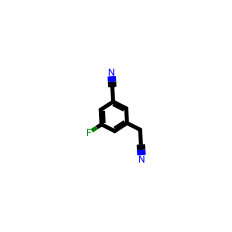 N#CCc1cc(F)cc(C#N)c1